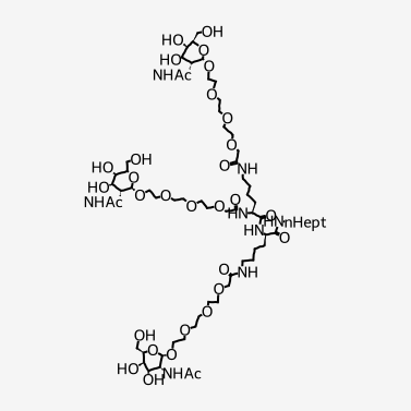 CCCCCCCNC(=O)[C@@H](CCCCNC(=O)COCCOCCOCCO[C@@H]1O[C@H](CO)[C@H](O)[C@H](O)[C@H]1NC(C)=O)NC(=O)[C@H](CCCCNC(=O)COCCOCCOCCO[C@@H]1O[C@H](CO)[C@H](O)[C@H](O)[C@H]1NC(C)=O)NC(=O)COCCOCCOCCO[C@@H]1OC(CO)[C@H](O)[C@H](O)[C@H]1NC(C)=O